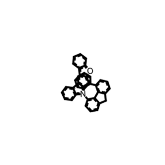 c1cc2c(c(-c3cccc4c3oc3ccccc34)c1)-c1c(cccc1-n1c3ccccc3c3ccccc31)C2